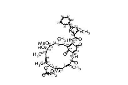 CO[C@H]1/C=C\C=C(/C)C(=O)NC2=CC(=O)C(NC(=O)c3nn(-c4ccccc4)nc3C)=C(C[C@@H](C)C[C@H](OC)[C@H](O)[C@@H](C)/C=C(\C)[C@@H]1OC(N)=O)C2=O